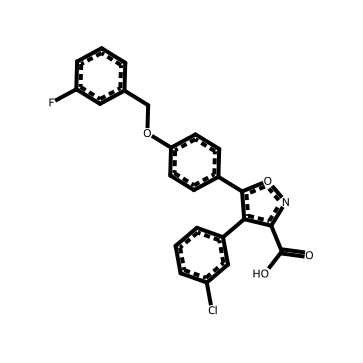 O=C(O)c1noc(-c2ccc(OCc3cccc(F)c3)cc2)c1-c1cccc(Cl)c1